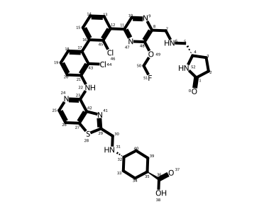 O=C1CC[C@@H](CNCc2ncc(-c3cccc(-c4cccc(Nc5nccc6sc(CN[C@H]7CC[C@H](C(=O)O)CC7)nc56)c4Cl)c3Cl)nc2OCF)N1